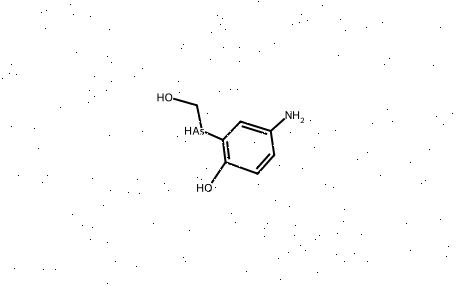 Nc1ccc(O)c([AsH]CO)c1